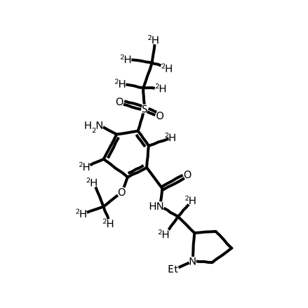 [2H]c1c(N)c(S(=O)(=O)C([2H])([2H])C([2H])([2H])[2H])c([2H])c(C(=O)NC([2H])([2H])C2CCCN2CC)c1OC([2H])([2H])[2H]